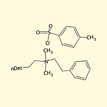 CCCCCCCCCCCC[N+](C)(C)CCc1ccccc1.Cc1ccc(S(=O)(=O)[O-])cc1